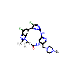 CCN1CCN(Cc2cnc3cc2NC(=O)CC(C)n2c(C)nc4c(F)cc(cc42)-c2nc(ncc2F)N3)CC1